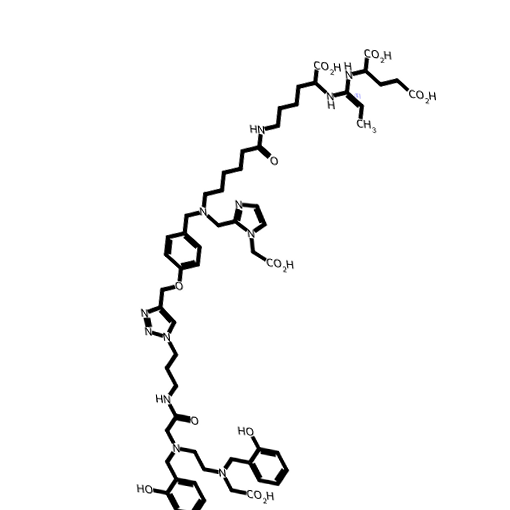 C/C=C(\NC(CCCCNC(=O)CCCCCN(Cc1ccc(OCc2cn(CCCNC(=O)CN(CCN(CC(=O)O)Cc3ccccc3O)Cc3ccccc3O)nn2)cc1)Cc1nccn1CC(=O)O)C(=O)O)NC(CCC(=O)O)C(=O)O